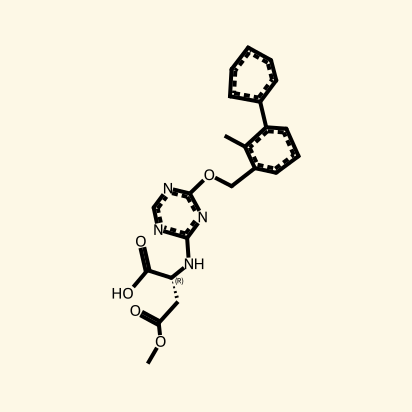 COC(=O)C[C@@H](Nc1ncnc(OCc2cccc(-c3ccccc3)c2C)n1)C(=O)O